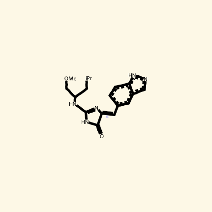 COCC(CC(C)C)NC1=N/C(=C\c2ccc3[nH]ncc3c2)C(=O)N1